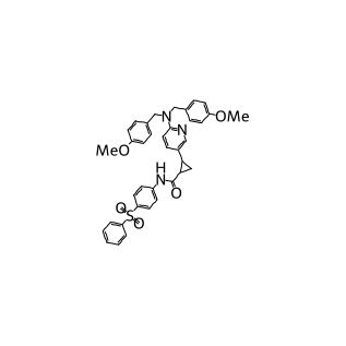 COc1ccc(CN(Cc2ccc(OC)cc2)c2ccc(C3CC3C(=O)Nc3ccc(S(=O)(=O)c4ccccc4)cc3)cn2)cc1